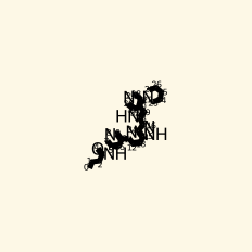 CCCC(=O)Nc1cncc(-c2ccc3[nH]nc(-c4cc5c(N6CCCCC6)cncc5[nH]4)c3n2)c1